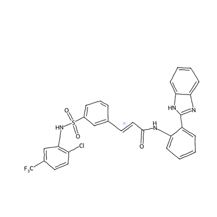 O=C(/C=C/c1cccc(S(=O)(=O)Nc2cc(C(F)(F)F)ccc2Cl)c1)Nc1ccccc1-c1nc2ccccc2[nH]1